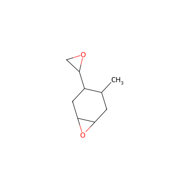 CC1CC2OC2CC1C1CO1